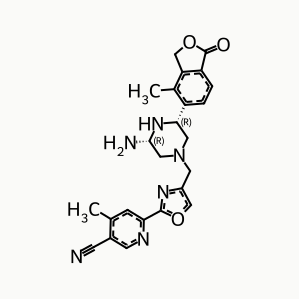 Cc1cc(-c2nc(CN3C[C@@H](c4ccc5c(c4C)COC5=O)N[C@@H](N)C3)co2)ncc1C#N